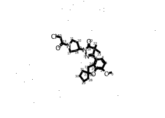 COc1ccc(C2=NN(C3CCN(C(=O)CCl)CC3)C(=O)C2(C)C)c2c1OC1(CCCC1)C2